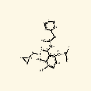 O=C(Cc1[c]cccc1)NC(=NOCC1CC1)c1c(OC(F)F)ccc(F)c1F